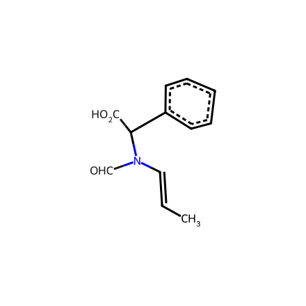 CC=CN(C=O)C(C(=O)O)c1ccccc1